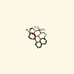 CC1(C)C2COc3ccc4cccc(-c5ccc(Br)cc5)c4c3C2N=C2SC=CN21